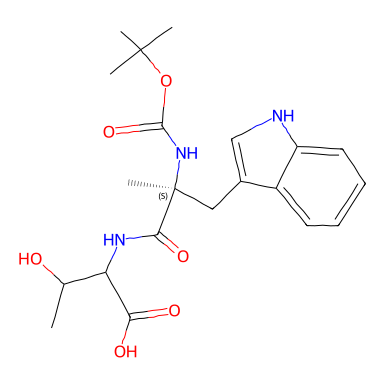 CC(O)C(NC(=O)[C@](C)(Cc1c[nH]c2ccccc12)NC(=O)OC(C)(C)C)C(=O)O